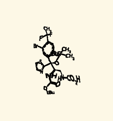 CC(C)(C)OC(=O)N[C@H](CNC(=O)O)[C@@](O[Si](C)(C)C(C)(C)C)(c1ccc(C(C)(F)F)c(Br)c1)c1nccs1